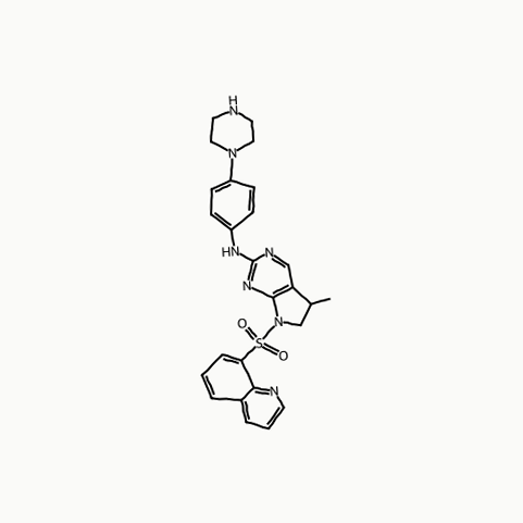 CC1CN(S(=O)(=O)c2cccc3cccnc23)c2nc(Nc3ccc(N4CCNCC4)cc3)ncc21